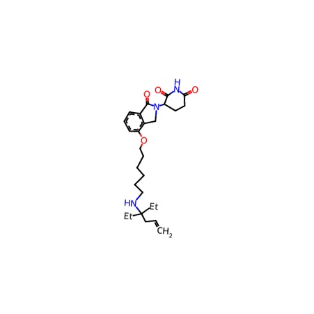 C=CCC(CC)(CC)NCCCCCCOc1cccc2c1CN(C1CCC(=O)NC1=O)C2=O